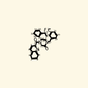 O=C(c1ccc2ccccc2n1)N1CC(=O)N(Cc2cccc(C(F)(F)F)c2)[C@@H](CCc2ccccc2)C1